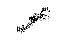 CC#CC[C@@H](C)[C@H](O)/C=C/[C@@H]1[C@H]2CC(CCCCCN(C)C)=C[C@H]2C[C@H]1O